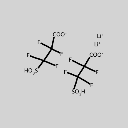 O=C([O-])C(F)(F)C(F)(F)S(=O)(=O)O.O=C([O-])C(F)(F)C(F)(F)S(=O)(=O)O.[Li+].[Li+]